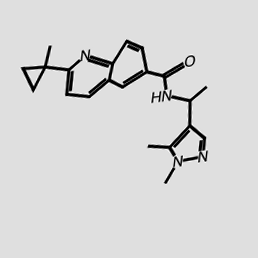 Cc1c(C(C)NC(=O)c2ccc3nc(C4(C)CC4)ccc3c2)cnn1C